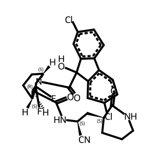 N#C[C@H](C[C@@H]1CCCNC1=O)NC(=O)[C@H]1[C@@H]2CC[C@@H](CC2(F)F)N1C(=O)C1(O)c2cc(Cl)ccc2-c2ccc(Cl)cc21